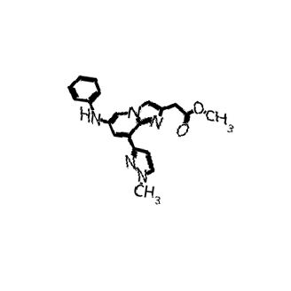 COC(=O)Cc1cn2cc(Nc3ccccc3)cc(-c3ccn(C)n3)c2n1